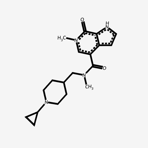 CN(CC1CCN(C2CC2)CC1)C(=O)c1cn(C)c(=O)c2[nH]ccc12